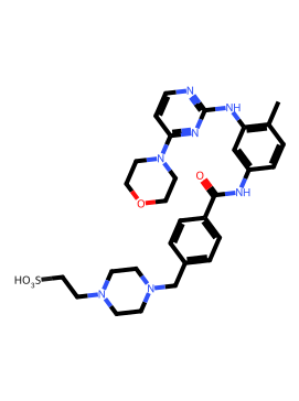 Cc1ccc(NC(=O)c2ccc(CN3CCN(CCS(=O)(=O)O)CC3)cc2)cc1Nc1nccc(N2CCOCC2)n1